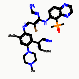 CN/C=C(\C=N)c1cc(\N=C/C(Br)=C(\N=C\N)Nc2ccc3nccnc3c2P(C)(C)=O)c(OC)cc1N1CCN(C(C)=O)CC1